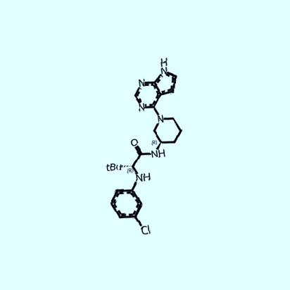 CC(C)(C)[C@@H](Nc1cccc(Cl)c1)C(=O)N[C@@H]1CCCN(c2ncnc3[nH]ccc23)C1